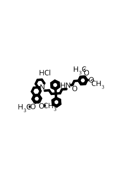 COc1ccc(CC(=O)NCCCC(CCCN2CCCCC23CCc2cc(OC)c(OC)cc2C3)(c2ccccc2)c2ccccc2)cc1OC.Cl